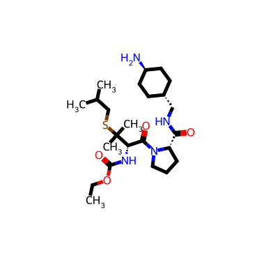 CCOC(=O)N[C@@H](C(=O)N1CCC[C@H]1C(=O)NC[C@H]1CC[C@H](N)CC1)C(C)(C)SCC(C)C